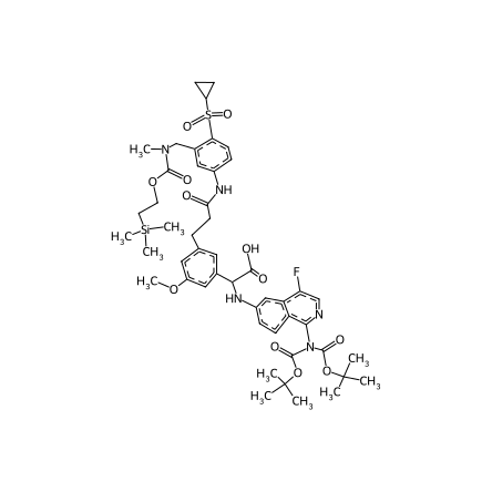 COc1cc(CCC(=O)Nc2ccc(S(=O)(=O)C3CC3)c(CN(C)C(=O)OCC[Si](C)(C)C)c2)cc(C(Nc2ccc3c(N(C(=O)OC(C)(C)C)C(=O)OC(C)(C)C)ncc(F)c3c2)C(=O)O)c1